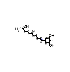 CC(O)CCCC(=O)CCC/C=C/c1cc(O)cc(O)c1